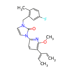 C=C/C(=C\C)c1ccc(-n2ccn(Cc3cc(F)ccc3C)c2=O)nc1OC